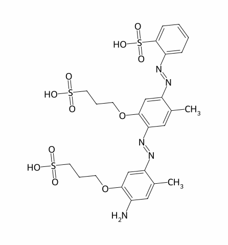 Cc1cc(N)c(OCCCS(=O)(=O)O)cc1N=Nc1cc(C)c(N=Nc2ccccc2S(=O)(=O)O)cc1OCCCS(=O)(=O)O